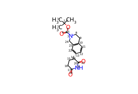 CC(C)(C)OC(=O)N1CCc2ccc([C@H]3CCC(=O)NC3=O)cc2C1